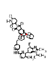 Cc1nc2c(F)cc(-c3nc(Nc4ccc(CN5CCC(CN6C7CCC6CN(c6cc8c(cc6F)C(=O)N(C6CCC(=O)NC6=O)C8=O)C7)CC5)cn4)ncc3F)cc2n1C(C)C